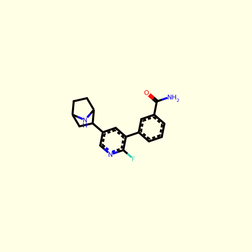 NC(=O)c1cccc(-c2cc(C3CC4CCC3N4)cnc2F)c1